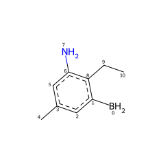 Bc1cc(C)cc(N)c1CC